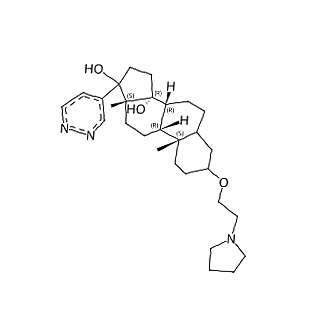 C[C@]12CCC(OCCN3CCCC3)CC1CC[C@@H]1[C@H]2CC[C@]2(C)C(O)(c3ccnnc3)CC[C@@]12O